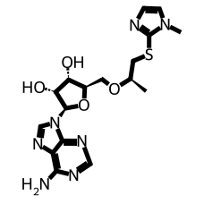 C[C@H](CSc1nccn1C)OC[C@H]1O[C@@H](n2cnc3c(N)ncnc32)[C@H](O)[C@@H]1O